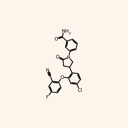 N#Cc1cc(F)ccc1Oc1cc(Cl)ccc1C1CC(=O)N(c2cccc(C(N)=O)c2)C1